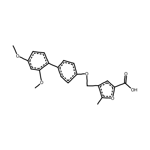 COc1ccc(-c2ccc(OCc3cc(C(=O)O)oc3C)cc2)c(OC)c1